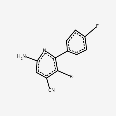 N#Cc1cc(N)nc(-c2ccc(F)cc2)c1Br